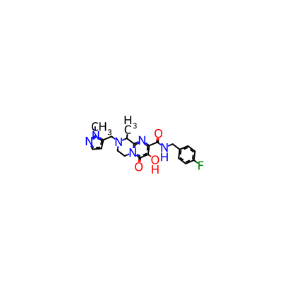 CC1c2nc(C(=O)NCc3ccc(F)cc3)c(O)c(=O)n2CCN1Cc1ccnn1C